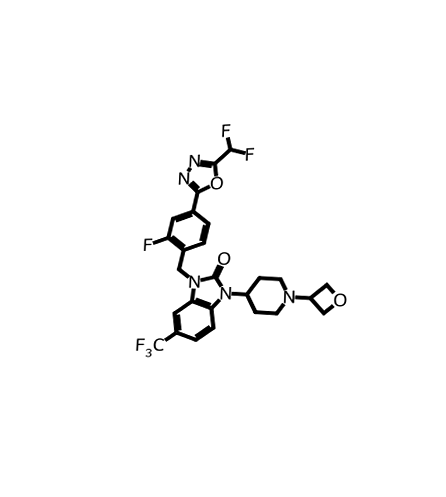 O=c1n(Cc2ccc(-c3nnc(C(F)F)o3)cc2F)c2cc(C(F)(F)F)ccc2n1C1CCN(C2COC2)CC1